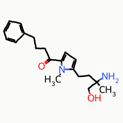 Cn1c(CCC(C)(N)CO)ccc1C(=O)CCCc1ccccc1